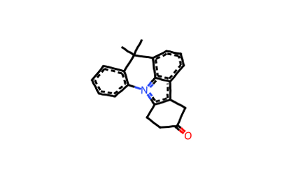 CC1(C)c2ccccc2-n2c3c(c4cccc1c42)CC(=O)CC3